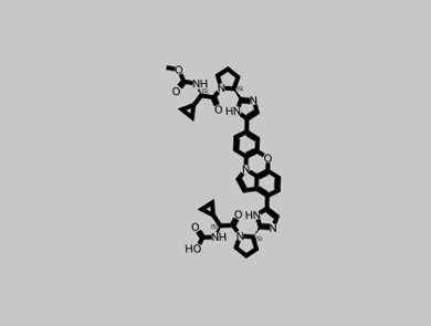 COC(=O)N[C@H](C(=O)N1CCC[C@H]1c1ncc(-c2ccc3c(c2)Oc2ccc(-c4cnc([C@@H]5CCCN5C(=O)[C@@H](NC(=O)O)C5CC5)[nH]4)c4ccn-3c24)[nH]1)C1CC1